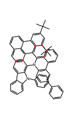 CC1C=C(N(c2ccc(-c3ccccc3)cc2-c2ccccc2)c2cccc3c4ccccc4n(-c4ccccc4)c23)C(c2cccc3cccc(-c4cc(C(C)(C)C)cc(C(C)(C)C)c4)c23)=CC1